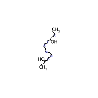 CC/C=C\C[C@H](O)/C=C/C=C\C/C=C\C/C=C\C=C\[C@H](O)CCC